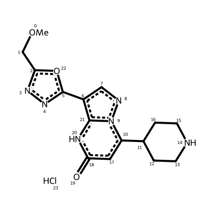 COCc1nnc(-c2cnn3c(C4CCNCC4)cc(=O)[nH]c23)o1.Cl